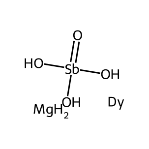 [Dy].[MgH2].[O]=[Sb]([OH])([OH])[OH]